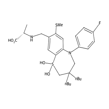 CCCCC1(CCCC)CN(c2ccc(F)cc2)c2cc(SC)c(CN[C@@H](C)C(=O)O)cc2S(O)(O)C1